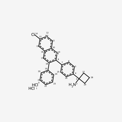 Cl.Cl.NC1(c2ccc(-c3nc4cnc(Cl)cc4cc3-c3ccccc3)cc2)CCC1